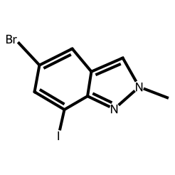 Cn1cc2cc(Br)cc(I)c2n1